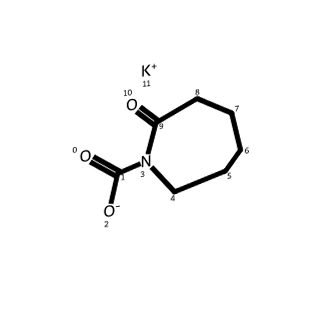 O=C([O-])N1CCCCCC1=O.[K+]